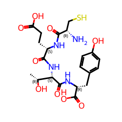 C[C@@H](O)[C@H](NC(=O)[C@H](CCC(=O)O)NC(=O)[C@@H](N)CS)C(=O)N[C@H](Cc1ccc(O)cc1)C(=O)O